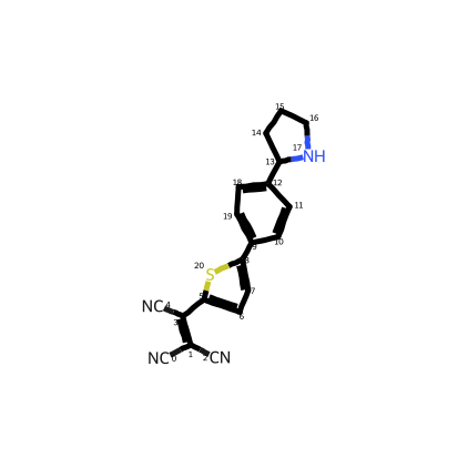 N#CC(C#N)=C(C#N)c1ccc(-c2ccc(C3CCCN3)cc2)s1